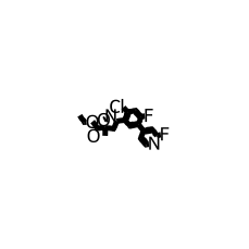 CCOC(=O)C1(C)CC(c2cc(-c3ccnc(F)c3)c(F)cc2Cl)=NO1